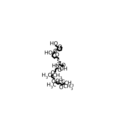 CC(C)(CCOC(C)(C)CCC(=O)C(C)(C)C)OCCC(=O)N[C@H](CSCC1CCC(O)[C@@H](O[C@H]2CCCOC2CO)O1)C(=O)O